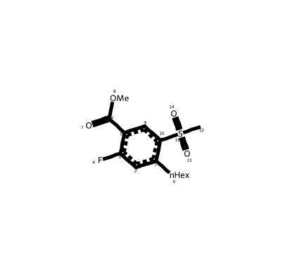 CCCCCCc1cc(F)c(C(=O)OC)cc1S(C)(=O)=O